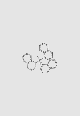 C[PH](c1cccc2ccccc12)(c1cccc2ccccc12)c1cccc2ccccc12